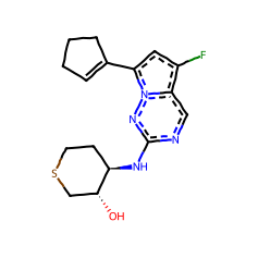 O[C@@H]1CSCC[C@H]1Nc1ncc2c(F)cc(C3=CCCC3)n2n1